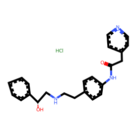 Cl.O=C(Cc1ccncc1)Nc1ccc(CCNC[C@H](O)c2ccccc2)cc1